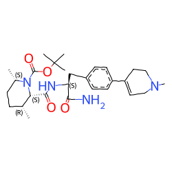 C[C@@H]1CC[C@H](C)N(C(=O)OC(C)(C)C)[C@@H]1C(=O)N[C@@H](Cc1ccc(C2=CCN(C)CC2)cc1)C(N)=O